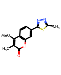 COc1c(C)c(=O)oc2cc(-c3nnc(C)s3)ccc12